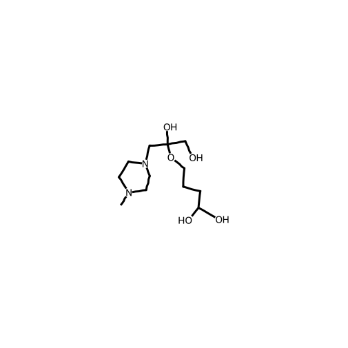 CN1CCN(CC(O)(CO)OCCCC(O)O)CC1